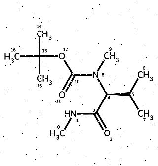 CNC(=O)[C@H](C(C)C)N(C)C(=O)OC(C)(C)C